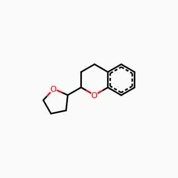 c1ccc2c(c1)CCC(C1CCCO1)O2